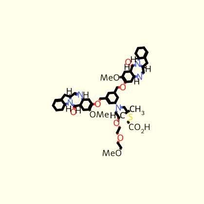 COCCOCCOCCN(CC(C)(C)SCC(=O)O)[C@@H]1C=C(COC2=C(OC)C[C@H]3C(=O)N4[C@H](C=N[C@H]3C2)CC2=CCCC[C@@H]24)CC(COC2=C(OC)C[C@@H]3C(=O)N4[C@@H]5CCCC=C5C[C@@H]4C=N[C@@H]3C2)C1